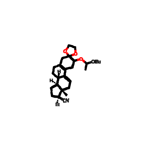 CC[C@]1(C#N)CC[C@H]2[C@@H]3CCC4=C(CC(OC(C)OCC(C)C)C5(C4)OCCO5)C3=CC[C@@]21C